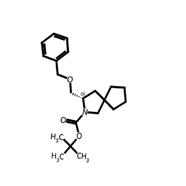 CC(C)(C)OC(=O)N1CC2(CCCC2)C[C@H]1COCc1ccccc1